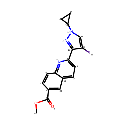 COC(=O)c1ccc2nc(-c3nn(C4CC4)cc3I)ccc2c1